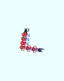 N#[C][Cr](=[O])(=[O])[O-].N#[C][Cr](=[O])(=[O])[O-].N#[C][Cr](=[O])(=[O])[O-].N#[C][Cr](=[O])(=[O])[O-].N#[C][Cr](=[O])(=[O])[O-].N#[C][Cr](=[O])(=[O])[O-].[K+].[K+].[K+].[K+].[K+].[K+]